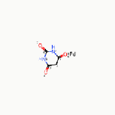 O=C1CC(=O)NC(=O)N1.[Pd]